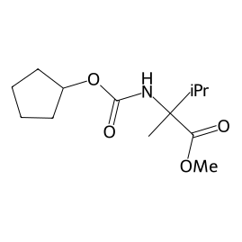 COC(=O)C(C)(NC(=O)OC1CCCC1)C(C)C